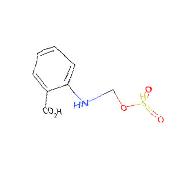 O=C(O)c1ccccc1NCO[SH](=O)=O